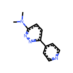 CN(C)c1ccc(-c2ccncc2)nn1